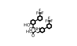 O=C(N[C@@H](Cc1ccc(-c2cccc(C(F)(F)F)c2)cc1)C(=O)O)c1cc(-c2cccc(C(F)(F)F)c2)ccc1O